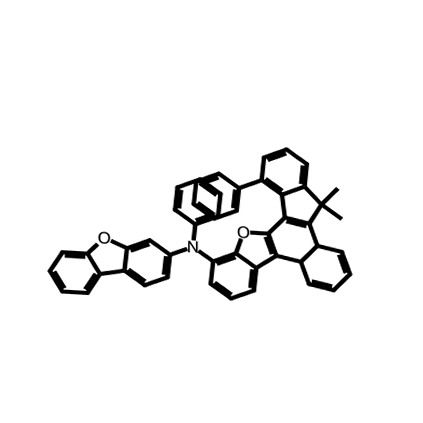 CC1(C)C2=C(c3oc4c(N(c5ccccc5)c5ccc6c(c5)oc5ccccc56)cccc4c3C3C=CC=CC23)c2c(-c3ccccc3)cccc21